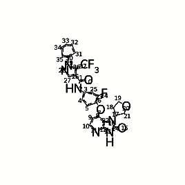 O=C(Nc1ccc(Oc2ccnc3[nH]c(=O)n(C4CCOC4)c23)c(F)c1)c1cnn(-c2ccccc2)c1C(F)(F)F